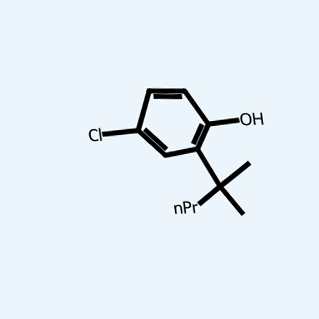 CCCC(C)(C)c1cc(Cl)ccc1O